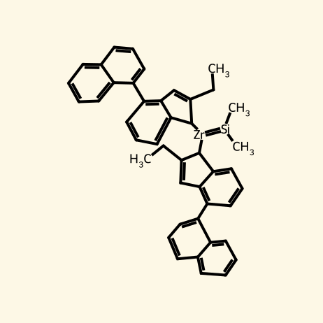 CCC1=Cc2c(-c3cccc4ccccc34)cccc2[CH]1[Zr]([CH]1C(CC)=Cc2c(-c3cccc4ccccc34)cccc21)=[Si](C)C